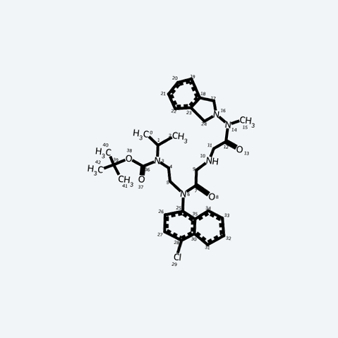 CC(C)N(CCN(C(=O)CNCC(=O)N(C)N1Cc2ccccc2C1)c1ccc(Cl)c2ccccc12)C(=O)OC(C)(C)C